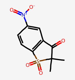 CC1(C)C(=O)c2cc([N+](=O)[O-])ccc2S1(=O)=O